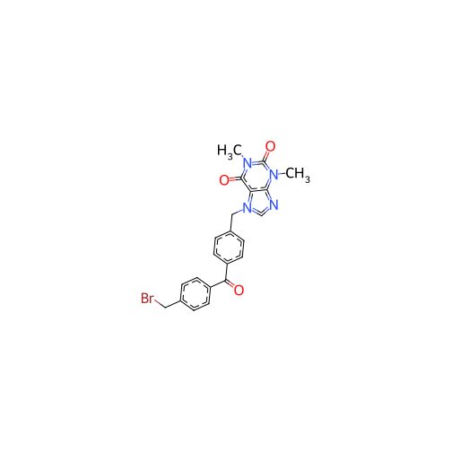 Cn1c(=O)c2c(ncn2Cc2ccc(C(=O)c3ccc(CBr)cc3)cc2)n(C)c1=O